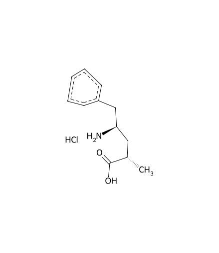 C[C@@H](C[C@@H](N)Cc1ccccc1)C(=O)O.Cl